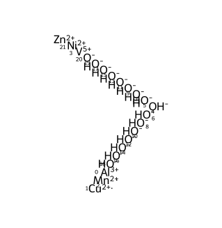 [Al+3].[Cu+2].[Mn+2].[Ni+2].[OH-].[OH-].[OH-].[OH-].[OH-].[OH-].[OH-].[OH-].[OH-].[OH-].[OH-].[OH-].[OH-].[OH-].[OH-].[OH-].[V+5].[Zn+2]